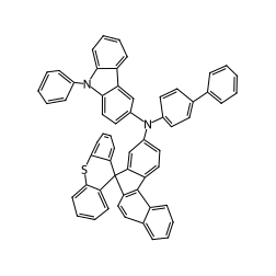 c1ccc(-c2ccc(N(c3ccc4c(c3)C3(c5ccccc5Sc5ccccc53)c3ccc5ccccc5c3-4)c3ccc4c(c3)c3ccccc3n4-c3ccccc3)cc2)cc1